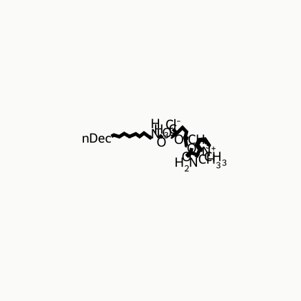 CCCCCCCCCCCCCCCCCCNC(=O)OCC1(C)CCC(C)(COC(=O)C(C)(N)c2cccc[n+]2C)O1.[Cl-]